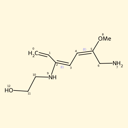 C=C/C(=C\C=C(/CN)OC)NCCO